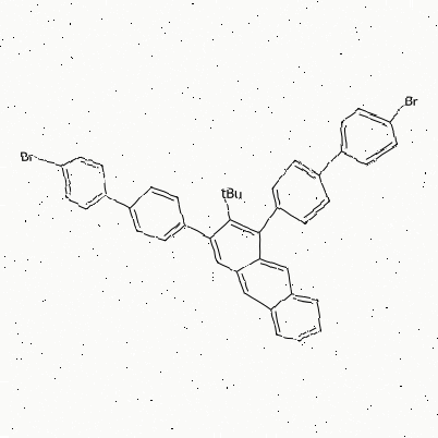 CC(C)(C)c1c(-c2ccc(-c3ccc(Br)cc3)cc2)cc2cc3ccccc3cc2c1-c1ccc(-c2ccc(Br)cc2)cc1